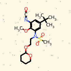 COc1c(N=C=O)cc(C(C)(C)C)cc1N(CCOC1CCCCO1)S(C)(=O)=O